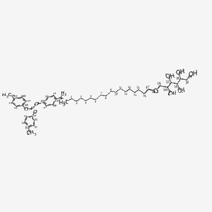 CCCCCCCCCCCCCCCCCCOCC(O)C(O)C(O)C(O)CO.Cc1ccc(OP(Oc2ccc(C)cc2)Oc2ccc(C)cc2)cc1